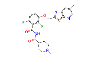 Cc1cnc2sc(COc3ccc(F)c(C(=O)NC(=O)C4CCN(C)CC4)c3F)nc2c1